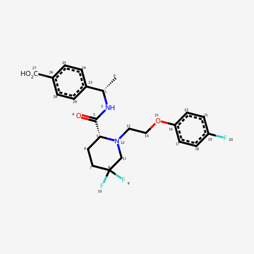 C[C@H](NC(=O)[C@H]1CCC(F)(F)CN1CCOc1ccc(F)cc1)c1ccc(C(=O)O)cc1